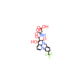 O=C(O)C[C@@H](NC(=O)c1c(O)c2cccnc2n(Cc2ccc(C(F)(F)F)cc2)c1=O)C(=O)O